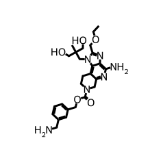 CCOCc1nc2c(N)nc3c(c2n1CC(C)(CO)CO)CCN(C(=O)OCc1cccc(CN)c1)C3